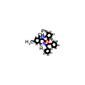 Cc1cc(C)c(C(Nc2c(C(C)C)cccc2C(C)C)c2nc(-c3ccccc3)c(-c3ccccc3)o2)c(C)c1